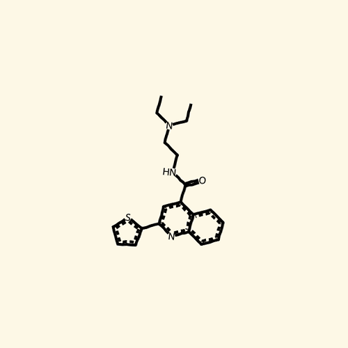 CCN(CC)CCNC(=O)c1cc(-c2cccs2)nc2ccccc12